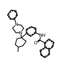 CC1CCC(c2cccc(NC(=O)c3cccc4ccccc34)c2)(N2CCN(c3ccccc3)CC2)CC1